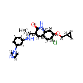 C[C@H](Nc1cccc(-n2ccnc2)c1)c1cc2cc(Cl)c(OCC3CC3)cc2[nH]c1=O